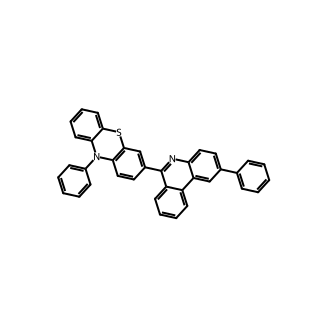 c1ccc(-c2ccc3nc(-c4ccc5c(c4)Sc4ccccc4N5c4ccccc4)c4ccccc4c3c2)cc1